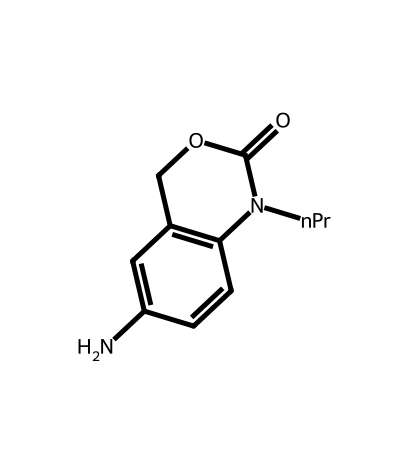 CCCN1C(=O)OCc2cc(N)ccc21